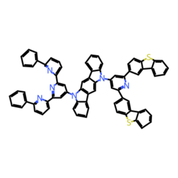 c1ccc(-c2cccc(-c3cc(-n4c5ccccc5c5cc6c(cc54)c4ccccc4n6-c4cc(-c5ccc6sc7ccccc7c6c5)nc(-c5ccc6sc7ccccc7c6c5)c4)cc(-c4cccc(-c5ccccc5)n4)n3)n2)cc1